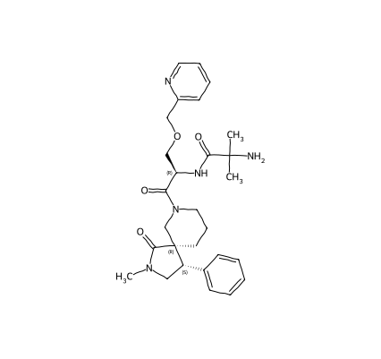 CN1C[C@@H](c2ccccc2)[C@@]2(CCCN(C(=O)[C@@H](COCc3ccccn3)NC(=O)C(C)(C)N)C2)C1=O